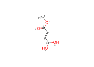 CCCOC(=O)C=CC(O)O